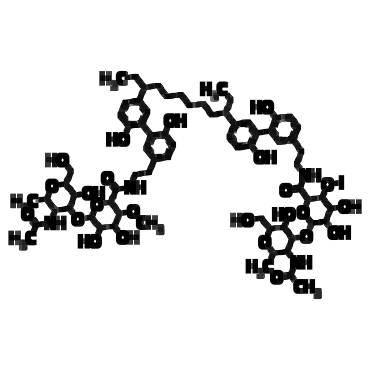 CCC(CCCCCCC(CC)c1ccc(O)c(-c2cc(CCNC(=O)C3OC(OC4C(O)C(CO)OC(C)C4NC(C)=O)C(O)C(O)C3OI)ccc2O)c1)c1ccc(O)c(-c2cc(CCNC(=O)C3OC(OC4C(O)C(CO)OC(C)C4NC(C)=O)C(O)C(O)C3OC)ccc2O)c1